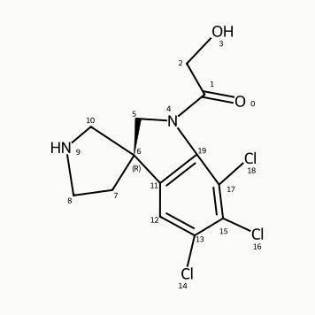 O=C(CO)N1C[C@]2(CCNC2)c2cc(Cl)c(Cl)c(Cl)c21